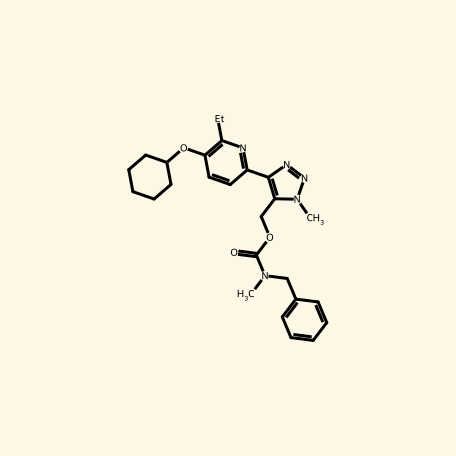 CCc1nc(-c2nnn(C)c2COC(=O)N(C)Cc2ccccc2)ccc1OC1CCCCC1